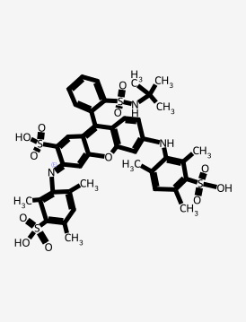 Cc1cc(C)c(S(=O)(=O)O)c(C)c1/N=c1\cc2oc3cc(Nc4c(C)cc(C)c(S(=O)(=O)O)c4C)ccc3c(-c3ccccc3S(=O)(=O)NC(C)(C)C)c-2cc1S(=O)(=O)O